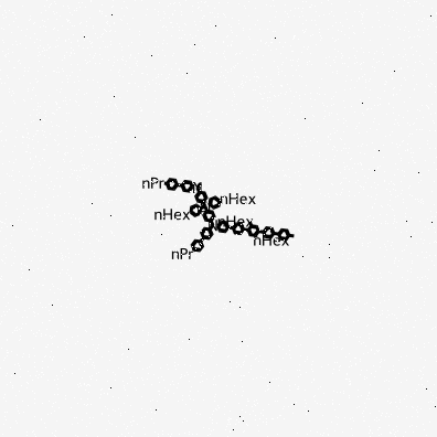 CCCCCCc1ccc([Si](c2ccc(CCCCCC)cc2)(c2ccc(N(C)c3ccc(-c4ccc(CCC)cc4)cc3)cc2)c2ccc(N(c3ccc(-c4ccc(CCC)cc4)cc3)c3ccc(-c4ccc(-c5cc(CCCCCC)c(-c6ccc(-c7ccc(C)cc7)cc6)cc5CCCCCC)cc4)cc3)cc2)cc1